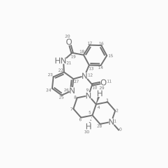 CN1CC[C@@H]2[C@H](CCCN2C(=O)N2c3ccccc3C(=O)Nc3cccnc32)C1